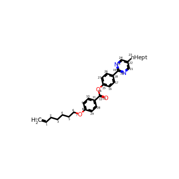 C=CCCCCCOc1ccc(C(=O)Oc2ccc(-c3ncc(CCCCCCC)cn3)cc2)cc1